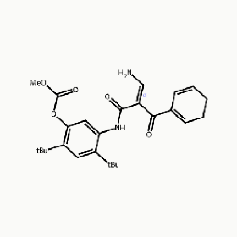 COC(=O)Oc1cc(NC(=O)/C(=C\N)C(=O)C2=CCCC=C2)c(C(C)(C)C)cc1C(C)(C)C